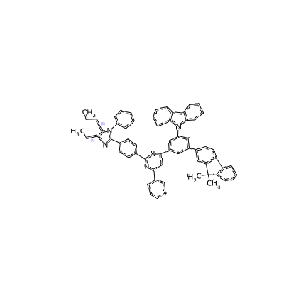 C=C/C=c1\c(=C/C)nc(-c2ccc(-c3nc(-c4ccccc4)cc(-c4cc(-c5ccc6c(c5)C(C)(C)c5ccccc5-6)cc(-n5c6ccccc6c6ccccc65)c4)n3)cc2)n1-c1ccccc1